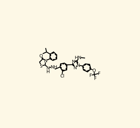 CNc1nc(-c2ccc(CNNC3SCC(=O)N3c3ccccc3C(C)C)c(Cl)c2)nn1-c1ccc(OC(F)(F)F)cc1